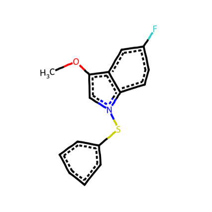 COc1cn(Sc2ccccc2)c2ccc(F)cc12